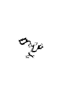 O=C(O)C[C@@H](Cc1ccsc1)C(=O)OCc1ccccc1